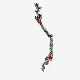 CC(C)CCC[C@@H](C)CCC[C@@H](C)CCCC(C)CCO[C@H](CO)COCCCCCCCCCCCCCCC[C@@H]1CC[C@H](CCCCCCCCCCCCCCCOC[C@@H](CO)OCCC(C)CCC[C@H](C)CCC[C@H](C)CCCC(C)C)C1